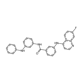 O=C(Nc1cccc(Nc2ccccc2)c1)c1cccc(Nc2ccnc3cc(F)ccc23)c1